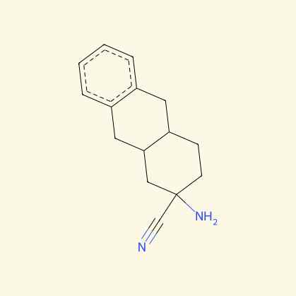 N#CC1(N)CCC2Cc3ccccc3CC2C1